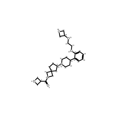 O=C(C1COC1)N1CC2(CC[C@@H](N3CCC(c4ccccc4OCCOC4COC4)CC3)C2)C1